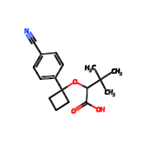 CC(C)(C)C(OC1(c2ccc(C#N)cc2)CCC1)C(=O)O